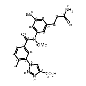 CON(C(=O)c1ccc(C)c(-n2cc(C(=O)O)nn2)c1)c1cc(CCC(N)=O)cc(C(C)(C)C)c1